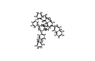 c1ccc(C2=NC(c3ccc4c(c3)sc3ccccc34)NC(c3cc(-c4ccc5ccccc5c4)cc4oc5cc6ccccc6cc5c34)=N2)cc1